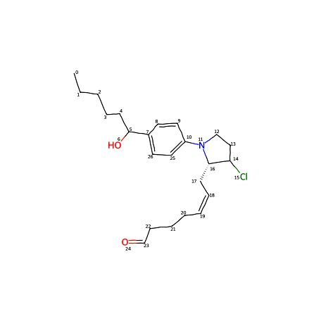 CCCCCC(O)c1ccc(N2CCC(Cl)[C@@H]2C/C=C\CCCC=O)cc1